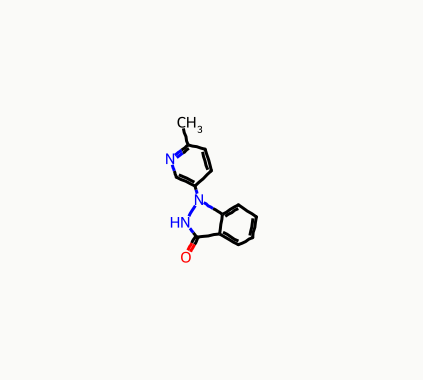 Cc1ccc(-n2[nH]c(=O)c3ccccc32)cn1